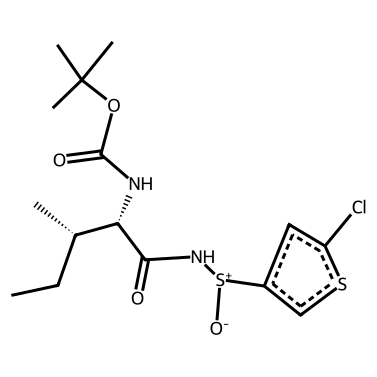 CC[C@H](C)[C@H](NC(=O)OC(C)(C)C)C(=O)N[S+]([O-])c1csc(Cl)c1